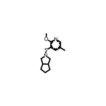 COc1ncc(C)cc1SN1CC2CCCC2C1